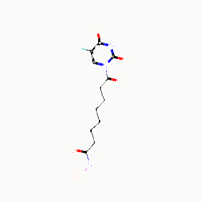 O=C(CCCCCCC(=O)n1cc(F)c(=O)[nH]c1=O)NO